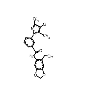 Cc1c(Cl)c(C(F)(F)F)nn1-c1cccc(C(=O)Nc2cc3c(cc2CO)OCO3)c1